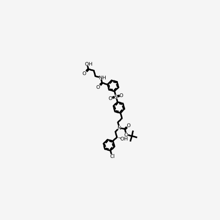 CC(C)(C)OC(=O)N(CCc1ccc(S(=O)(=O)c2cccc(C(=O)NCCC(=O)O)c2)cc1)C[C@H](O)c1cccc(Cl)c1